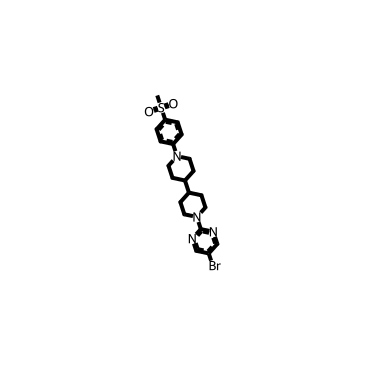 CS(=O)(=O)c1ccc(N2CCC(C3CCN(c4ncc(Br)cn4)CC3)CC2)cc1